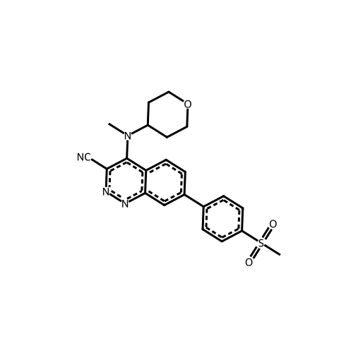 CN(c1c(C#N)nnc2cc(-c3ccc(S(C)(=O)=O)cc3)ccc12)C1CCOCC1